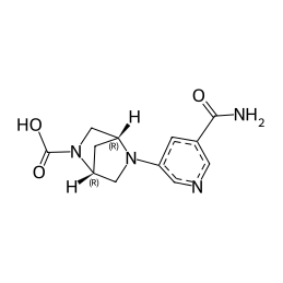 NC(=O)c1cncc(N2C[C@H]3C[C@@H]2CN3C(=O)O)c1